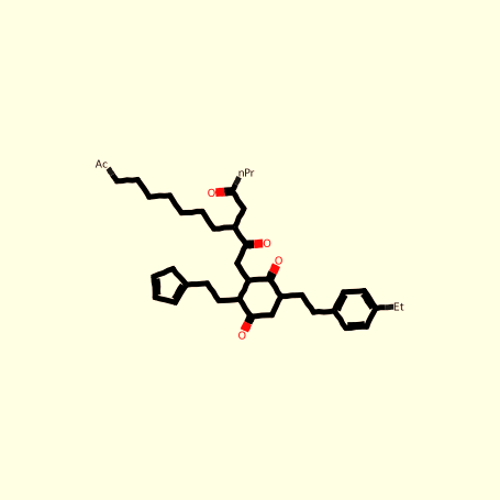 CCCC(=O)CC(CCCCCCCC(C)=O)C(=O)CC1C(=O)C(CCc2ccc(CC)cc2)CC(=O)C1CCC1=CC=CC1